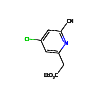 CCOC(=O)Cc1cc(Cl)cc(C#N)n1